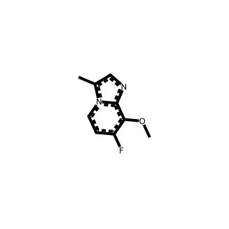 COc1c(F)ccn2c(C)cnc12